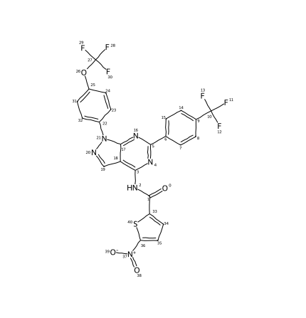 O=C(Nc1nc(-c2ccc(C(F)(F)F)cc2)nc2c1cnn2-c1ccc(OC(F)(F)F)cc1)c1ccc([N+](=O)[O-])s1